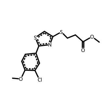 COC(=O)CCSc1csc(-c2ccc(OC)c(Cl)c2)n1